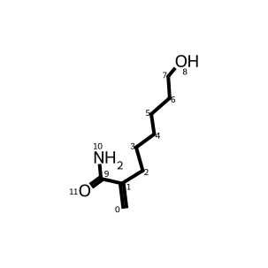 C=C(CCCCCCO)C(N)=O